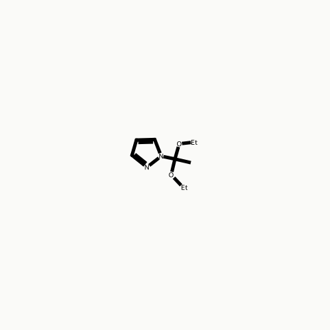 CCOC(C)(OCC)n1cccn1